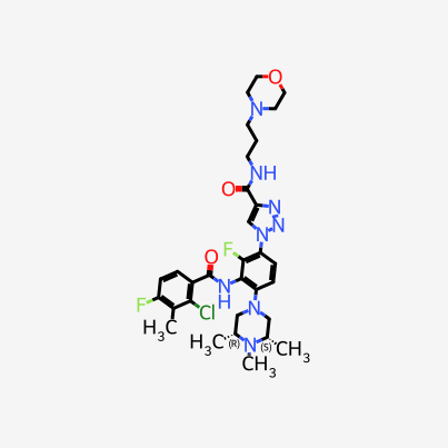 Cc1c(F)ccc(C(=O)Nc2c(N3C[C@@H](C)N(C)[C@@H](C)C3)ccc(-n3cc(C(=O)NCCCN4CCOCC4)nn3)c2F)c1Cl